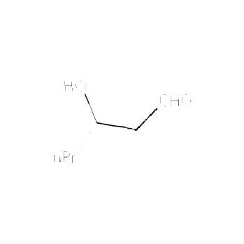 CCC[C@H](O)C[C]=O